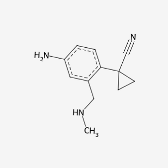 CNCc1cc(N)ccc1C1(C#N)CC1